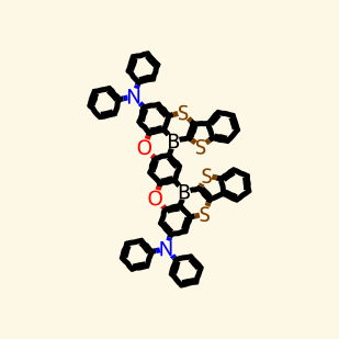 c1ccc(N(c2ccccc2)c2cc3c4c(c2)Sc2c(sc5ccccc25)B4c2cc4c(cc2O3)Oc2cc(N(c3ccccc3)c3ccccc3)cc3c2B4c2sc4ccccc4c2S3)cc1